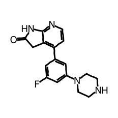 O=C1Cc2c(-c3cc(F)cc(N4CCNCC4)c3)ccnc2N1